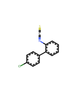 S=C=Nc1ccccc1-c1ccc(Cl)cc1